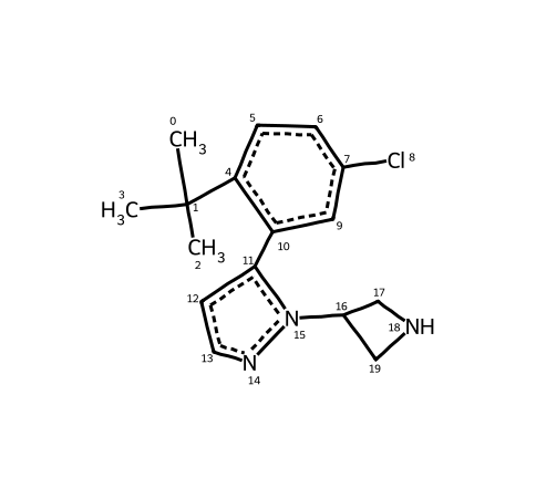 CC(C)(C)c1ccc(Cl)cc1-c1ccnn1C1CNC1